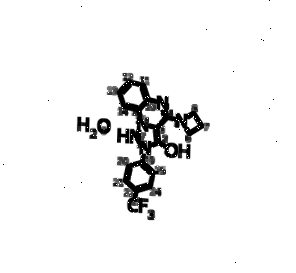 O.OC1=C2C(N3CCC3)=Nc3ccccc3N2NN1c1ccc(C(F)(F)F)cc1